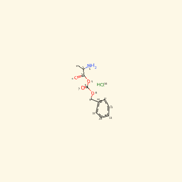 CC(N)C(=O)OC(=O)OCc1ccccc1.Cl